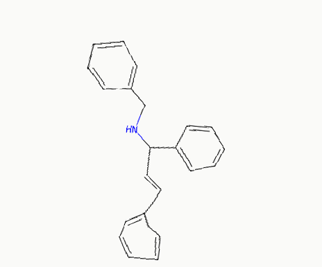 C(=CC(NCc1ccccc1)c1ccccc1)c1ccccc1